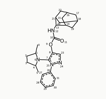 CC1CCC(C)N1c1c(OC(=O)NC2C3CC4CC(C3)CC2C4)cnn1-c1ccccc1